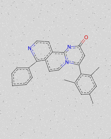 Cc1cc(C)c(-c2cc(=O)nc3c4ccnc(-c5ccccc5)c4ccn23)c(C)c1